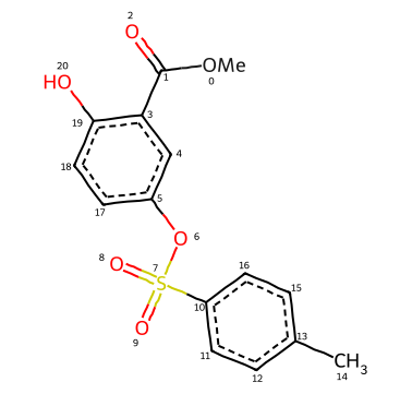 COC(=O)c1cc(OS(=O)(=O)c2ccc(C)cc2)ccc1O